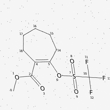 COC(=O)C1=C(OS(=O)(=O)C(F)(F)F)CCCCC1